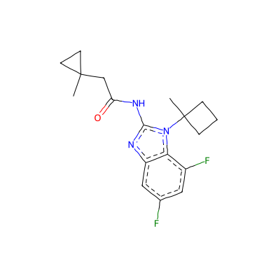 CC1(CC(=O)Nc2nc3cc(F)cc(F)c3n2C2(C)CCC2)CC1